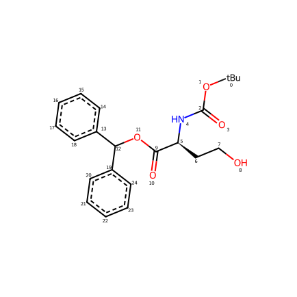 CC(C)(C)OC(=O)N[C@@H](CCO)C(=O)OC(c1ccccc1)c1ccccc1